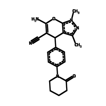 Cc1nn(C)c2c1C(c1ccc(N3CCCCC3=O)cc1)C(C#N)=C(N)O2